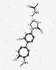 CNc1ccc(-c2ccc(N3C[C@H](CNC(C)=O)OC3=O)cc2F)ccc1=O